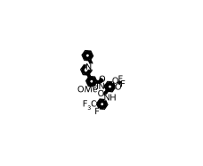 COc1ccc(C2=CN(Cc3ccccc3)CCC2)cc1C(=O)Nc1cc2c(cc1C(=O)Nc1ccc(F)c(C(F)(F)F)c1)OC(F)(F)O2